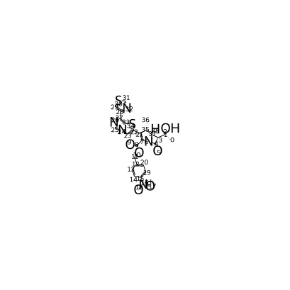 C[C@@H](O)[C@H]1C(=O)N2C(C(=O)OCc3ccc([N+](=O)[O-])cc3)=C(c3cn4cnc(-c5cscn5)c4s3)[C@H](C)[C@H]12